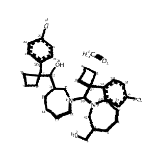 C=O.OCC1CCCCN(C(N2CCCCC(C(O)C3(c4ccc(Cl)cc4)CCC3)C2)C2(c3ccc(Cl)cc3)CCC2)C1